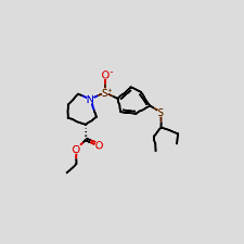 CCOC(=O)[C@@H]1CCCN([S+]([O-])c2ccc(SC(CC)CC)cc2)C1